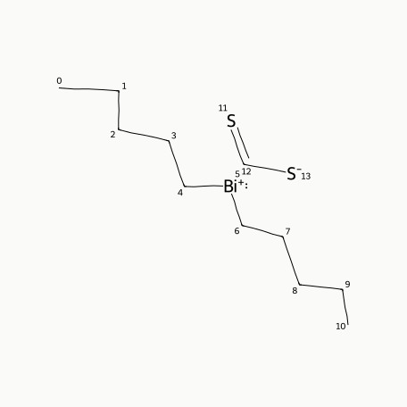 CCCC[CH2][Bi+][CH2]CCCC.S=C[S-]